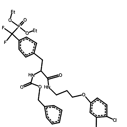 CCOP(=O)(OCC)C(F)(F)c1ccc(CC(NC(=O)OCc2ccccc2)C(=O)NCCCOc2ccc(Cl)c(Cl)c2)cc1